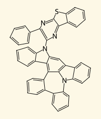 c1ccc(-c2nc3sc4ccccc4c3nc2-n2c3ccccc3c3c4c5c(cc32)c2ccccc2n5-c2ccccc2-c2ccccc2-4)cc1